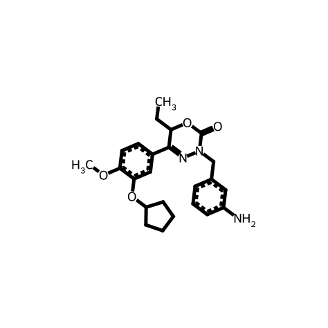 CCC1OC(=O)N(Cc2cccc(N)c2)N=C1c1ccc(OC)c(OC2CCCC2)c1